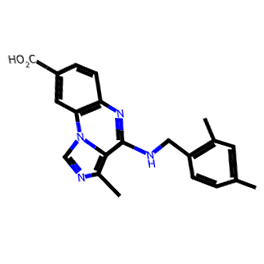 Cc1ccc(CNc2nc3ccc(C(=O)O)cc3n3cnc(C)c23)c(C)c1